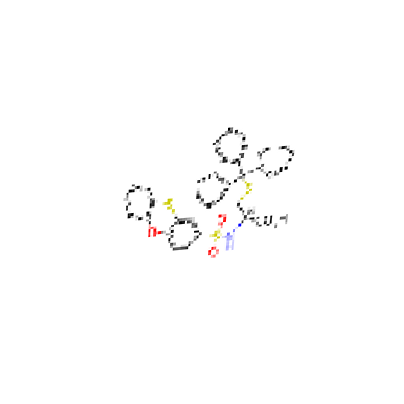 O=C(O)[C@H](CSC(c1ccccc1)(c1ccccc1)c1ccccc1)NS(=O)(=O)c1ccc2c(c1)Sc1ccccc1O2